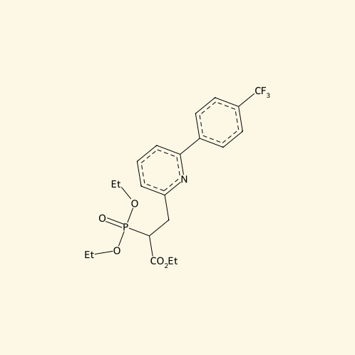 CCOC(=O)C(Cc1cccc(-c2ccc(C(F)(F)F)cc2)n1)P(=O)(OCC)OCC